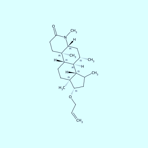 C=CCO[C@H]1CC(C)[C@H]2[C@@H]3[C@@H](C)C[C@H]4N(C)C(=O)CC[C@]4(C)[C@H]3CC[C@]12C